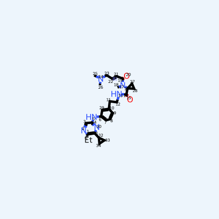 CCc1ncc(Nc2cccc(CCNC(=O)C3(N(C)C(=O)/C=C/CN(C)C)CC3)c2)nc1C1CC1